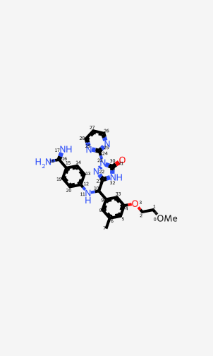 COCCOc1cc(C)cc(C(Nc2ccc(C(=N)N)cc2)c2nn(-c3ncccn3)c(=O)[nH]2)c1